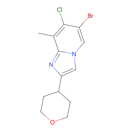 Cc1c(Cl)c(Br)cn2cc(C3CCOCC3)nc12